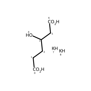 O=C(O)CCC(O)CC(=O)O.[KH].[KH]